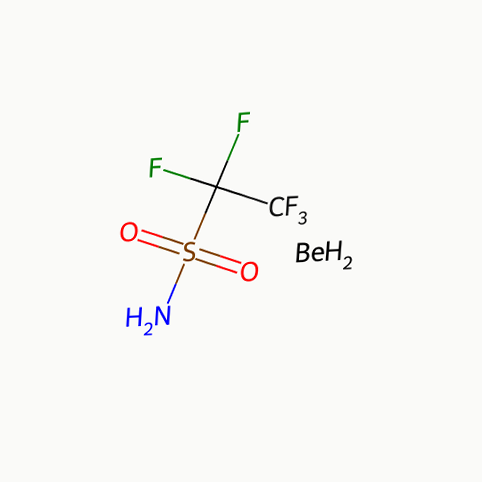 NS(=O)(=O)C(F)(F)C(F)(F)F.[BeH2]